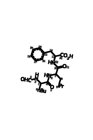 CCCCC(NC=O)C(=O)NC(CC(C)C)C(=O)NC(Cc1ccccc1)C(=O)O